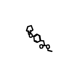 CCOC(=O)Cc1ccc(ON2CCCC2)cc1